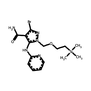 C[Si](C)(C)CCOCn1nc(Br)c(C(N)=O)c1Nc1ccccn1